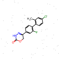 Cc1cc(Cl)ccc1-c1ccc(C2=NNC(=O)OC2)cc1F